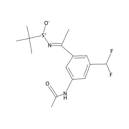 CC(=O)Nc1cc(C(C)=N[S+]([O-])C(C)(C)C)cc(C(F)F)c1